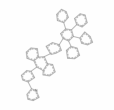 c1ccc(-c2cc(-c3ccc(-c4c5ccccc5c(-c5cccc(-c6ccccn6)c5)c5ccccc45)cc3)c(-c3ccccc3)c(-c3ccccc3)c2-c2ccccc2)cc1